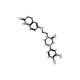 O=C1CCc2cc(OCCN3CCN(c4ccc(Cl)c(Cl)c4)CC3=O)ccc2N1